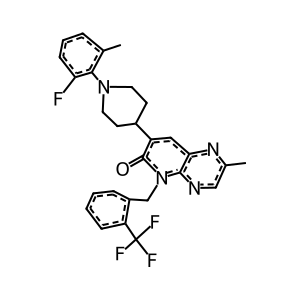 Cc1cnc2c(cc(C3CCN(c4c(C)cccc4F)CC3)c(=O)n2Cc2ccccc2C(F)(F)F)n1